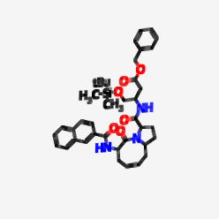 CC(C)(C)[Si](C)(C)OCC(CC(=O)OCc1ccccc1)NC(=O)C1CCC2C/C=C\CC(NC(=O)c3ccc4ccccc4c3)C(=O)N21